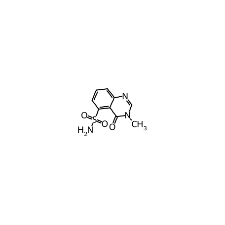 Cn1cnc2cccc(S(N)(=O)=O)c2c1=O